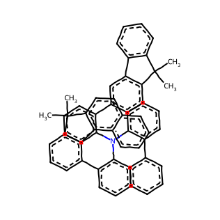 CC1(C)c2ccccc2-c2cc(-c3ccccc3N(c3ccccc3-c3ccccc3)c3ccccc3-c3cccc4c3-c3c(ccc5ccccc35)C4(C)C)ccc21